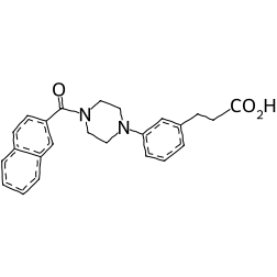 O=C(O)CCc1cccc(N2CCN(C(=O)c3ccc4ccccc4c3)CC2)c1